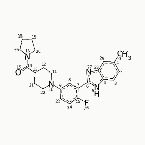 Cc1ccc2[nH]c(-c3cc(N4CCC(C(=O)N5CCCC5)CC4)ccc3F)nc2c1